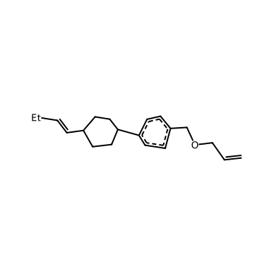 C=CCOCc1ccc(C2CCC(/C=C/CC)CC2)cc1